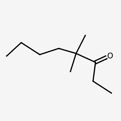 CCCCC(C)(C)C(=O)CC